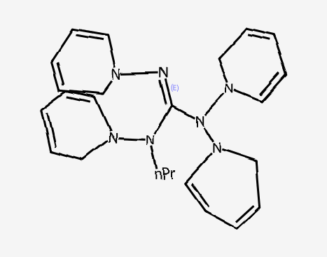 CCCN(/C(=N\N1C=CC=CC1)N(N1C=CC=CC1)N1C=CC=CC1)N1C=CC=CC1